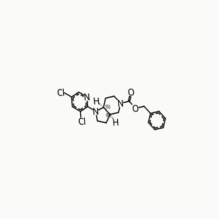 O=C(OCc1ccccc1)N1CC[C@H]2[C@H](CCN2c2ncc(Cl)cc2Cl)C1